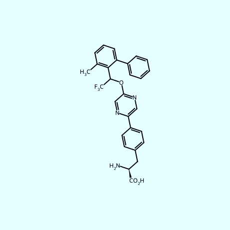 Cc1cccc(-c2ccccc2)c1C(Oc1cnc(-c2ccc(C[C@H](N)C(=O)O)cc2)cn1)C(F)(F)F